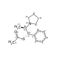 CC(=O)S[C@@H](c1ccccc1)[C@@H](C)N1CCCC1